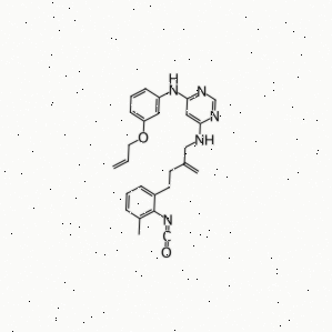 C=CCOc1cccc(Nc2cc(NCC(=C)CCc3cccc(C)c3N=C=O)ncn2)c1